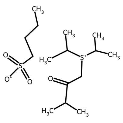 CC(C)C(=O)C[S+](C(C)C)C(C)C.CCCCS(=O)(=O)[O-]